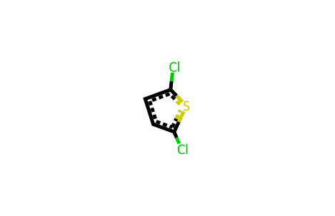 Clc1ccc(Cl)s1